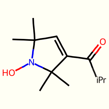 CC(C)C(=O)C1=CC(C)(C)N(O)C1(C)C